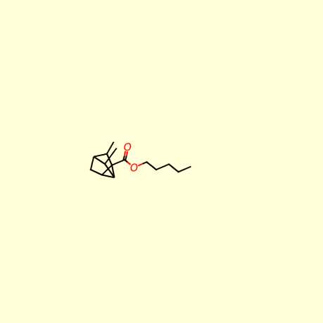 CCCCCOC(=O)C12C(C)C3CC1C2C3C